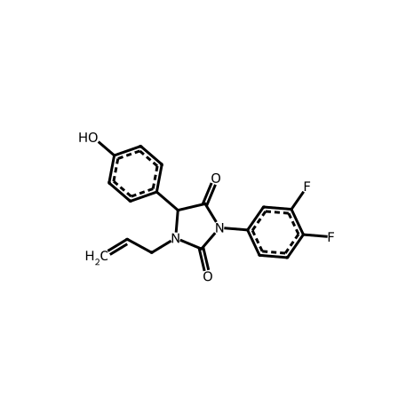 C=CCN1C(=O)N(c2ccc(F)c(F)c2)C(=O)C1c1ccc(O)cc1